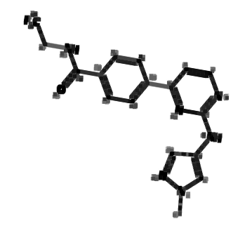 Cn1cc(Nc2nccc(-c3ccc(C(=O)NCC(F)(F)F)cc3)n2)cn1